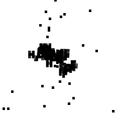 Cc1nc(NC(=O)Oc2cnn3c(C(F)(F)F)cc(-c4ccc(C(F)(F)F)c(OCC(F)(F)F)c4)nc23)sc1S(N)(=O)=O